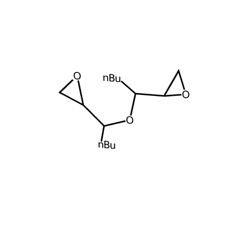 CCCCC(OC(CCCC)C1CO1)C1CO1